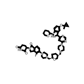 CC1(Oc2ccc3c(c2)C(c2cc(N4CCN(C[C@H]5CC[C@H](CN6CCN(c7ccc8c(c7F)CN(C7CCC(=O)NC7=O)C8=O)CC6)OC5)CC4)ncn2)NN3C2CCCCO2)CC1